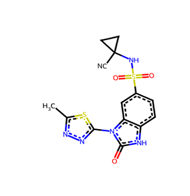 Cc1nnc(-n2c(=O)[nH]c3ccc(S(=O)(=O)NC4(C#N)CC4)cc32)s1